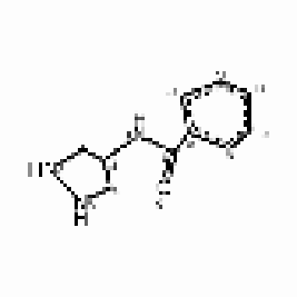 O=C(NC1CNNC1)c1ccccc1